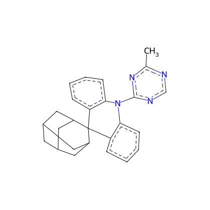 Cc1ncnc(N2c3ccccc3C3(c4ccccc42)C2CC4CC(C2)CC3C4)n1